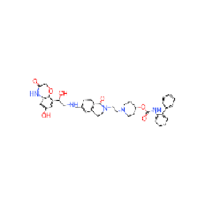 O=C1COc2c(cc(O)cc2[C@@H](O)CNCc2ccc3c(c2)CCN(CCN2CCC(OC(=O)Nc4ccccc4-c4ccccc4)CC2)C3=O)N1